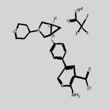 Nc1ncc(-c2ccc([C@@]34C[C@@H]3CN(C3CCOCC3)C4)cc2)cc1C(=O)O.O=C(O)C(F)(F)F